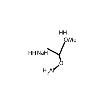 COC(C)[O][AlH2].[HH].[HH].[NaH]